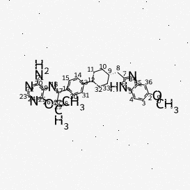 COc1ccc2[nH]c(C[C@H]3CC[C@H](c4ccc(C5=Nc6c(N)ncnc6OC5(C)C)cc4)CC3)nc2c1